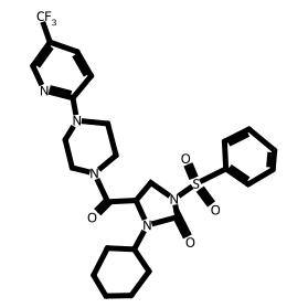 O=C(C1CN(S(=O)(=O)c2ccccc2)C(=O)N1C1CCCCC1)N1CCN(c2ccc(C(F)(F)F)cn2)CC1